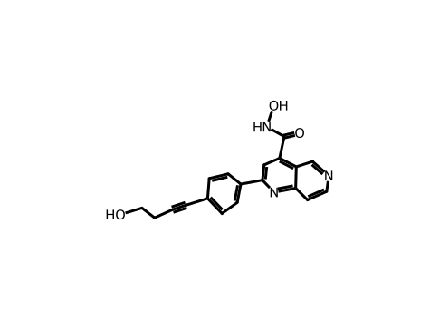 O=C(NO)c1cc(-c2ccc(C#CCCO)cc2)nc2ccncc12